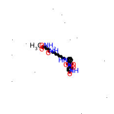 COC(=O)[C@@H](N)CCC(=O)NCCCCCCCCNc1cccc2c1C(=O)N(C1CCC(=O)NC1=O)C2=O